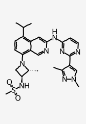 Cc1nn(C)cc1-c1nccc(Nc2cc3c(C(C)C)ccc(N4C[C@H](NS(C)(=O)=O)[C@H]4C)c3cn2)n1